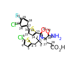 CC(C)(Cc1ccc(Cl)s1)N(C(=O)c1ccc(-c2ccc(F)c(Cl)c2)s1)[C@@H](CCC(=O)O)C(N)=O